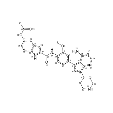 COc1cc(-c2nn(C3CCNCC3)c3ncnc(N)c23)ccc1NC(=O)c1cc2cc(OC(C)=O)ccc2[nH]1